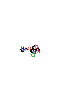 Clc1cc(OCCn2cccn2)c2c(n1)C1(CCOC1)OCC2